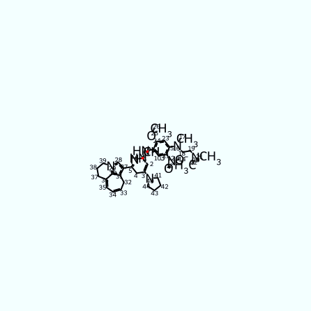 CN/C=C(\C/C(=N\CNc1cc([N+](=O)[O-])c(N(C)CCN(C)C)cc1OC)c1cn2c3c1CC=CC=C3CCC2)N1CCCC1